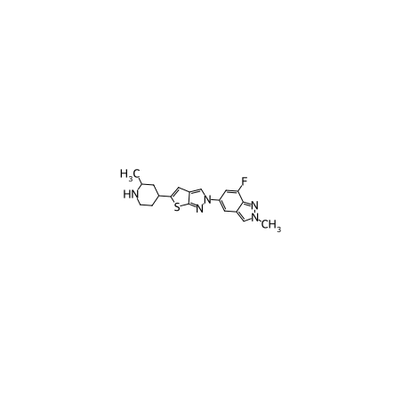 CC1CC(c2cc3cn(-c4cc(F)c5nn(C)cc5c4)nc3s2)CCN1